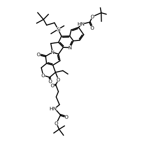 CCC1(OC(=O)CCCNC(=O)OC(C)(C)C)C(=O)OCc2c1cc1n(c2=O)Cc2c-1nc1ccc(NC(=O)OC(C)(C)C)cc1c2[Si](C)(C)CCC(C)(C)C